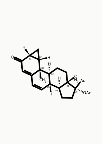 CC(=O)O[C@]1(C(C)=O)CC[C@H]2[C@@H]3C=CC4=CC(=O)[C@@H]5C[C@@H]5[C@]4(C)[C@H]3CC[C@@]21C